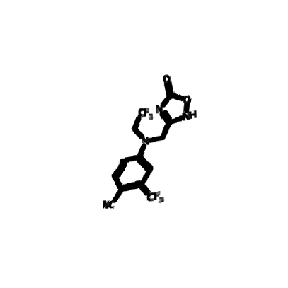 N#Cc1ccc(N(Cc2nc(=O)o[nH]2)CC(F)(F)F)cc1C(F)(F)F